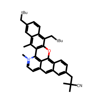 Cc1c2c(c(CC(C)(C)C)c3ccc(CC(C)(C)C)cc13)Oc1c3ccc(CC(C)(C)C#N)cc3cc3cc[n+](C)c-2c13